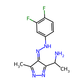 CC1=NN=C(C(C)N)C1=NNc1ccc(F)c(F)c1